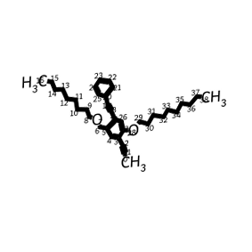 CC#Cc1cc(COCCCCCCCCC)c(C#Cc2ccccc2)cc1OCCCCCCCCCC